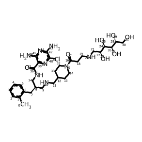 Cc1ccccc1C[C@H](CNCC1CCN(C(=O)CCNC[C@H](O)[C@@H](O)[C@H](O)[C@H](O)CO)CC1)CNC(=O)c1nc(Cl)c(N)nc1N